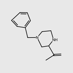 C=C(C)C1CN(Cc2ccccc2)CCN1